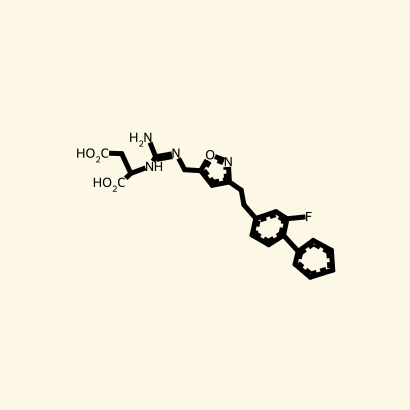 NC(=NCc1cc(CCc2ccc(-c3ccccc3)c(F)c2)no1)NC(CC(=O)O)C(=O)O